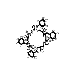 CN1CC(=O)N(Cc2ccccc2)CC(=O)N(Cc2ccccc2)CC(=O)N(C)CC(=O)N(Cc2ccccc2)CC(=O)N(Cc2ccccc2)CC1=O